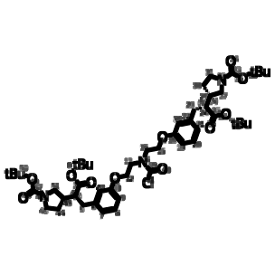 CC(C)(C)OC(=O)[C@@H](Cc1cccc(OCCN(CCOc2cccc(C[C@@H](C(=O)OC(C)(C)C)[C@@H]3CCN(C(=O)OC(C)(C)C)C3)c2)C(=O)Cl)c1)[C@H]1CCN(C(=O)OC(C)(C)C)C1